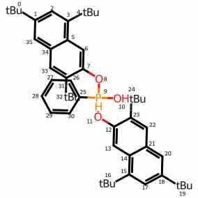 CC(C)(C)c1cc(C(C)(C)C)c2cc(O[PH](O)(Oc3cc4c(C(C)(C)C)cc(C(C)(C)C)cc4cc3C(C)(C)C)c3ccccc3)c(C(C)(C)C)cc2c1